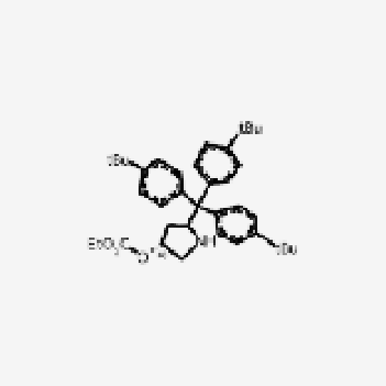 CCOC(=O)O[C@H]1CNC(C(c2ccc(C(C)(C)C)cc2)(c2ccc(C(C)(C)C)cc2)c2ccc(C(C)(C)C)cc2)C1